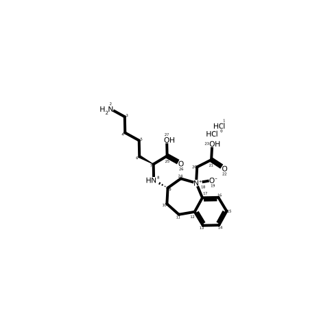 Cl.Cl.NCCCC[C@H](N[C@H]1CCc2ccccc2[N+]([O-])(CC(=O)O)C1)C(=O)O